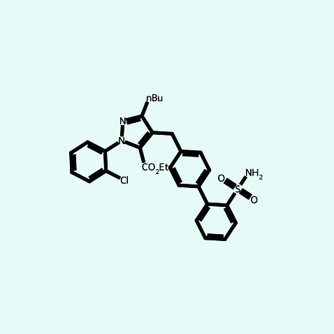 CCCCc1nn(-c2ccccc2Cl)c(C(=O)OCC)c1Cc1ccc(-c2ccccc2S(N)(=O)=O)cc1